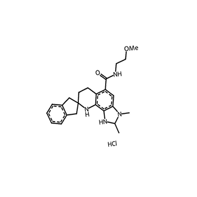 COCCNC(=O)c1cc2c(c3c1CCC1(Cc4ccccc4C1)N3)NC(C)N2C.Cl